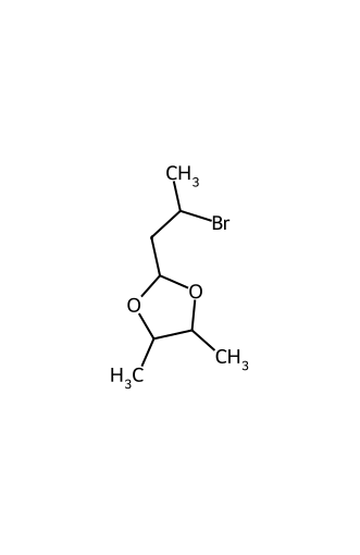 CC(Br)CC1OC(C)C(C)O1